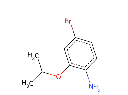 CC(C)Oc1cc(Br)ccc1N